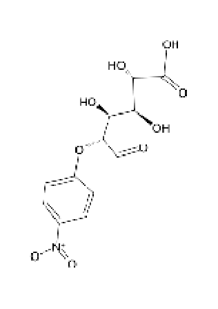 O=C[C@H](Oc1ccc([N+](=O)[O-])cc1)[C@@H](O)[C@H](O)[C@H](O)C(=O)O